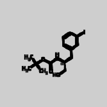 CC(C)(C)OC(=O)N[C@H](CO)Cc1cccc(I)c1